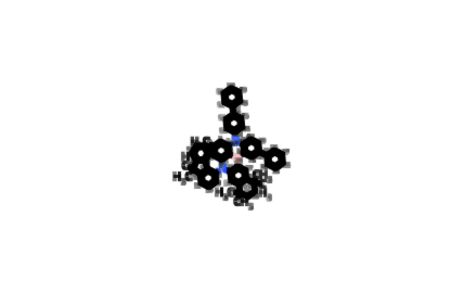 Cc1cc2c3c(c1)N(c1cccc4c1-c1ccccc1C4(C)C)c1cc4c(cc1B3c1cc(-c3ccccc3)ccc1N2c1ccc(-c2ccccc2)cc1)C(C)(C)CCC4(C)C